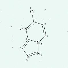 Clc1ccn2nncc2n1